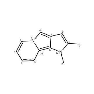 Cc1cc2cn3ccccc3c2n1C